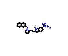 Cn1c(CC[C@@H]2CCCN2Cc2ccc3ccccc3c2)cc2ccc(C(=N)N)cc21